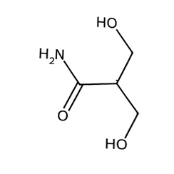 NC(=O)[C](CO)CO